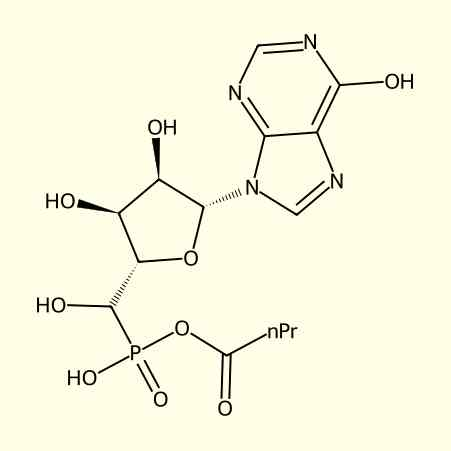 CCCC(=O)OP(=O)(O)C(O)[C@H]1O[C@@H](n2cnc3c(O)ncnc32)[C@H](O)[C@@H]1O